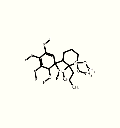 CCCC1(OC)C(C2(SF)C=C(SF)C(SF)=C(SF)C2SF)CCC[Si]1(OC)OC